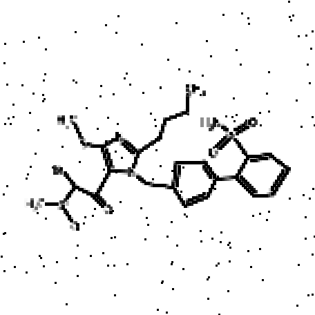 CCCCc1nc(SC)c(C(=O)C(Br)[S+](C)[O-])n1Cc1ccc(-c2ccccc2S(N)(=O)=O)cc1